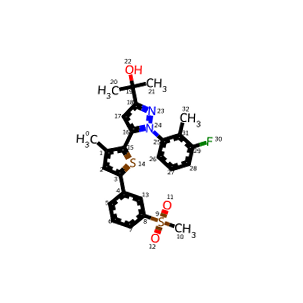 Cc1cc(-c2cccc(S(C)(=O)=O)c2)sc1-c1cc(C(C)(C)O)nn1-c1cccc(F)c1C